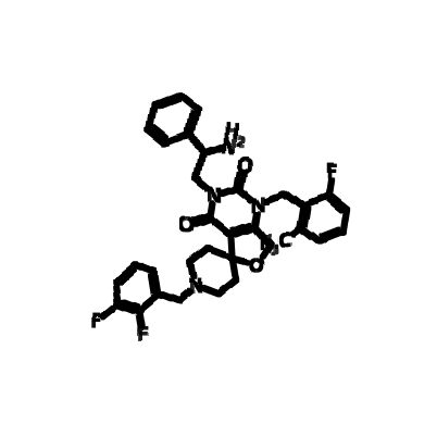 NC(Cn1c(=O)c2c(n(Cc3c(F)cccc3C(F)(F)F)c1=O)COC21CCN(Cc2cccc(F)c2F)CC1)c1ccccc1